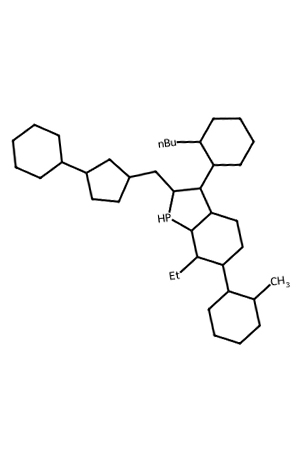 CCCCC1CCCCC1C1C(CC2CCC(C3CCCCC3)C2)PC2C(CC)C(C3CCCCC3C)CCC21